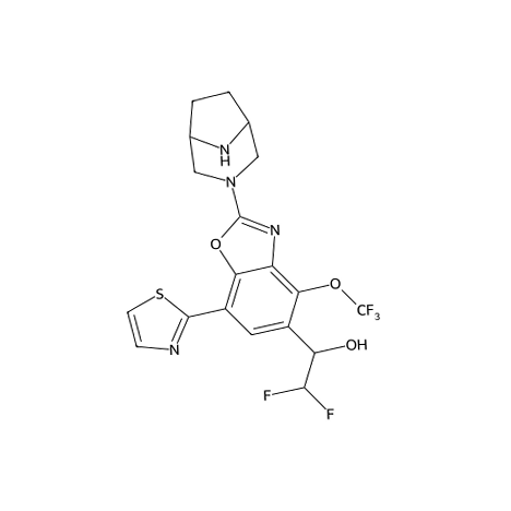 OC(c1cc(-c2nccs2)c2oc(N3CC4CCC(C3)N4)nc2c1OC(F)(F)F)C(F)F